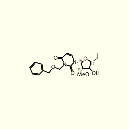 CO[C@H]1C(O)[C@@H](CI)O[C@H]1n1ccc(=O)n(COCc2ccccc2)c1=O